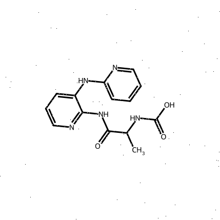 CC(NC(=O)O)C(=O)Nc1ncccc1Nc1ccccn1